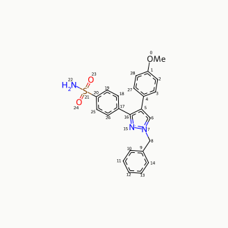 COc1ccc(-c2cn(Cc3ccccc3)nc2-c2ccc(S(N)(=O)=O)cc2)cc1